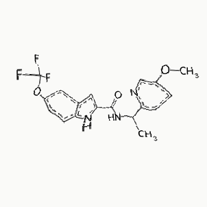 COc1ccc(C(C)NC(=O)c2cc3cc(OC(F)(F)F)ccc3[nH]2)nc1